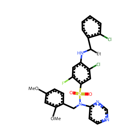 CCC(Nc1cc(F)c(S(=O)(=O)N(Cc2ccc(OC)cc2OC)c2ccncn2)cc1Cl)c1ccccc1Cl